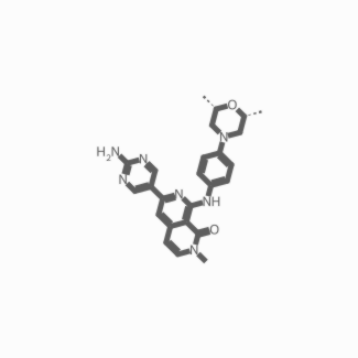 C[C@@H]1CN(c2ccc(Nc3nc(-c4cnc(N)nc4)cc4ccn(C)c(=O)c34)cc2)C[C@H](C)O1